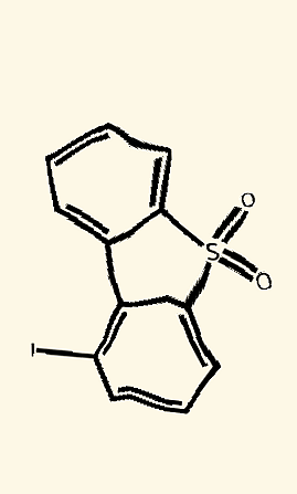 O=S1(=O)c2ccccc2-c2c(I)cccc21